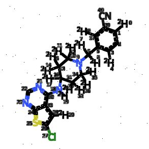 [2H]c1cc([2H])c(C([2H])([2H])N2C([2H])([2H])C([2H])([2H])C([2H])(N([2H])c3ncnc4sc(Cl)c([2H])c34)C([2H])([2H])C2([2H])[2H])c([2H])c1C#N